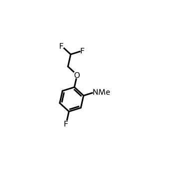 CNc1cc(F)ccc1OCC(F)F